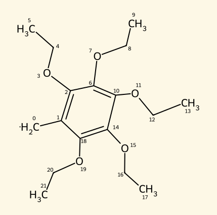 [CH2]c1c(OCC)c(OCC)c(OCC)c(OCC)c1OCC